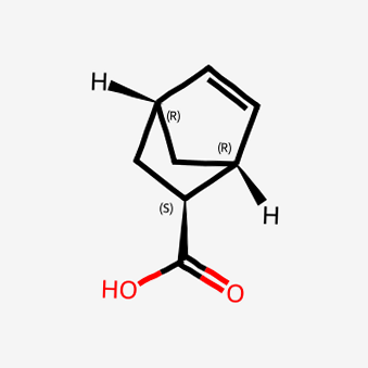 O=C(O)[C@H]1C[C@@H]2C=C[C@H]1C2